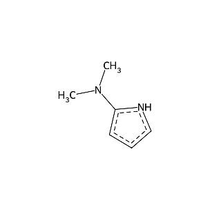 CN(C)c1ccc[nH]1